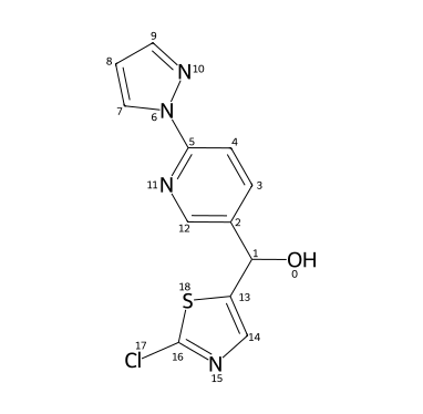 OC(c1ccc(-n2cccn2)nc1)c1cnc(Cl)s1